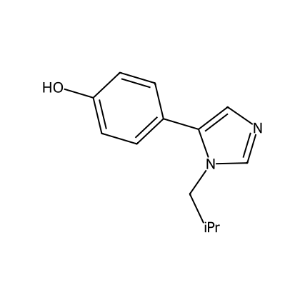 CC(C)Cn1cncc1-c1ccc(O)cc1